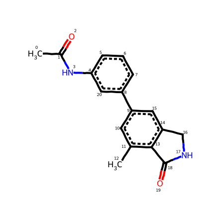 CC(=O)Nc1cccc(-c2cc(C)c3c(c2)CNC3=O)c1